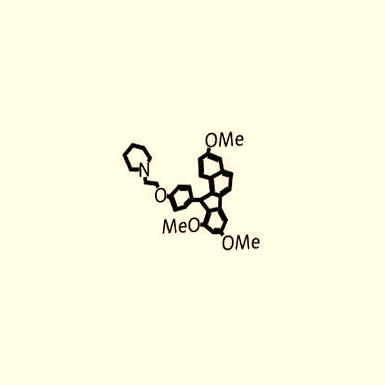 COc1cc(OC)c2c(c1)-c1ccc3cc(OC)ccc3c1C2c1ccc(OCCN2CCCCC2)cc1